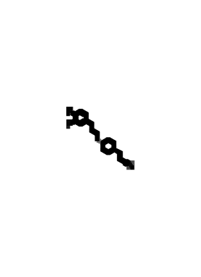 N#CC=C[C@H]1CC[C@H](CCCCc2ccc(F)c(F)c2)CC1